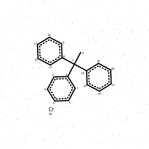 [CH2]C(c1ccccc1)(c1ccccc1)c1ccccc1.[Cr]